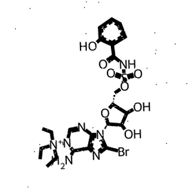 CC[N+](CC)(CC)N1C=Nc2c(nc(Br)n2[C@@H]2O[C@H](COS(=O)(=O)NC(=O)c3ccccc3O)C(O)C2O)C1N